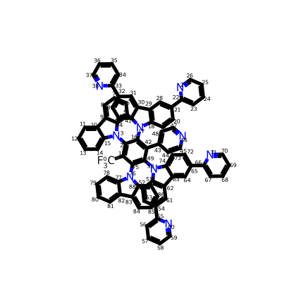 FC(F)(F)c1c(-n2c3ccccc3c3ccccc32)c(-n2c3ccc(-c4ccccn4)cc3c3cc(-c4ccccn4)ccc32)c(-c2ccncc2)c(-n2c3ccc(-c4ccccn4)cc3c3cc(-c4ccccn4)ccc32)c1-n1c2ccccc2c2ccccc21